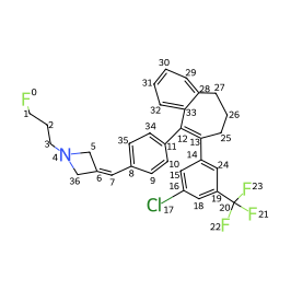 FCCCN1CC(=Cc2ccc(C3=C(c4cc(Cl)cc(C(F)(F)F)c4)CCCc4ccccc43)cc2)C1